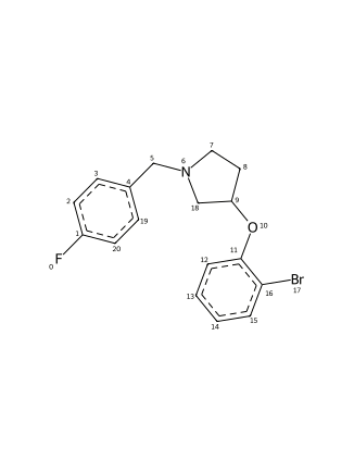 Fc1ccc(CN2CCC(Oc3ccccc3Br)C2)cc1